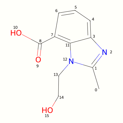 Cc1nc2cccc(C(=O)O)c2n1CCO